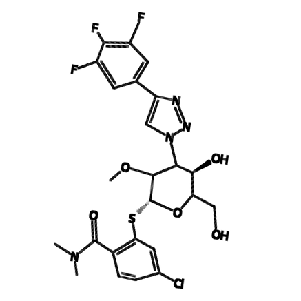 COC1C(n2cc(-c3cc(F)c(F)c(F)c3)nn2)[C@@H](O)C(CO)O[C@@H]1Sc1cc(Cl)ccc1C(=O)N(C)C